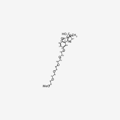 COCCOCCOCCOCCOCCOc1ccc(O)c(C2=N[C@@](C)(C(=O)O)CS2)c1